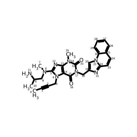 CC#CCn1c(N(C)CC(C)N)nc2c1c(=O)n(Cc1cn3c(ccc4ccccc43)n1)c(=O)n2C